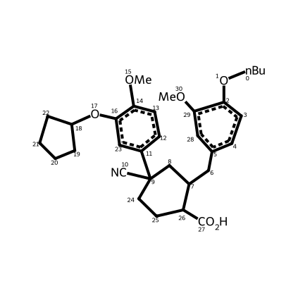 CCCCOc1ccc(CC2CC(C#N)(c3ccc(OC)c(OC4CCCC4)c3)CCC2C(=O)O)cc1OC